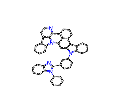 c1ccc(-n2c(-c3cccc(-n4c5ccccc5c5c6cccc7c8nccc9c%10ccccc%10n(c(cc54)c76)c98)c3)nc3ccccc32)cc1